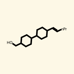 CCC/C=C/C1CCC(C2CCC(CO)CC2)CC1